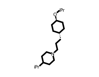 CC(C)O[C@H]1CC[C@H](CCCN2CCC(C(C)C)CC2)CC1